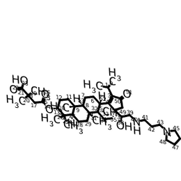 CC(C)C1=C2[C@H]3CC[C@@H]4[C@@]5(C)CC[C@H](OC(=O)CC(C)(C)C(=O)O)C(C)(C)[C@@H]5CC[C@@]4(C)[C@]3(C)CC[C@@]2([C@H](O)CNCCCN2CCCC2)CC1=O